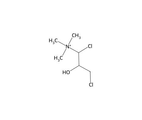 C[N+](C)(C)C(Cl)C(O)CCl